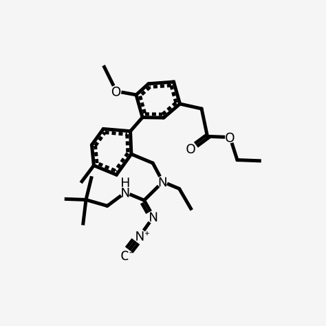 [C-]#[N+]/N=C(\NCC(C)(C)C)N(CC)Cc1cc(C)ccc1-c1cc(CC(=O)OCC)ccc1OC